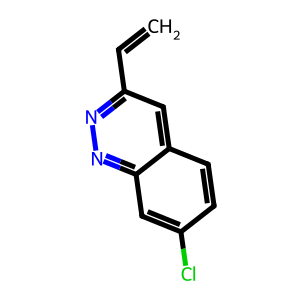 C=Cc1cc2ccc(Cl)cc2nn1